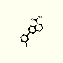 NC(=O)N1CCCc2cc(-c3cncc(F)c3)cnc21